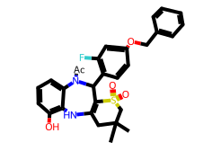 CC(=O)N1c2cccc(O)c2NC2=C(C1c1ccc(OCc3ccccc3)cc1F)S(=O)(=O)CC(C)(C)C2